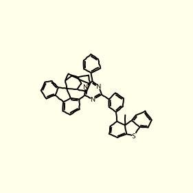 CC12C(=CC=CC1c1cccc(-c3nc(-c4ccccc4)nc(-c4cccc5c4C4(c6ccccc6-5)C5CC6CC(C5)CC4C6)n3)c1)Sc1ccccc12